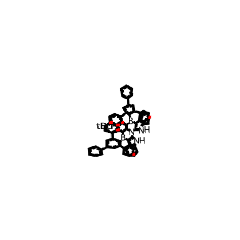 CC(C)(C)c1cc2c3c(c1)B(c1c(-c4ccccc4)cc(-c4ccccc4)cc1-c1ccccc1)c1c([nH]c4ccccc14)N3c1[nH]c3ccccc3c1B2c1c(-c2ccccc2)cc(-c2ccccc2)cc1-c1ccccc1